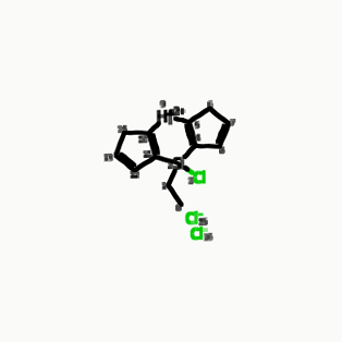 CC[Si]1(Cl)C2=[C](CC=C2)[Hf+2][C]2=C1C=CC2.[Cl-].[Cl-]